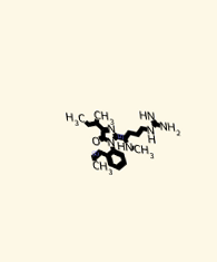 C/C=C\c1ccccc1N1C(=O)C(C(C)CC)=N/C1=C(\CCCNC(=N)N)NC